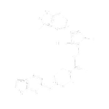 Cc1nn(-c2ccc3nnc(C)n3n2)c(C)c1CCC(=O)N1CCN(Cc2ccc3cc[nH]c3c2)CC1